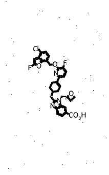 O=C(O)c1ccc2nc(CC3CC=C(c4ccc(F)c(OCc5ccc(Cl)c6cc(F)oc56)n4)CC3)n(C[C@@H]3CCO3)c2c1